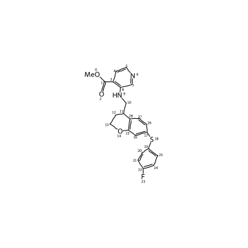 COC(=O)c1ccncc1NCC1CCOc2cc(Sc3ccc(F)cc3)ccc21